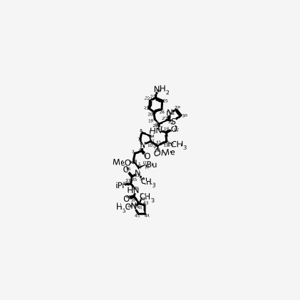 CC[C@H](C)[C@@H]([C@@H](CC(=O)N1CCC[C@H]1[C@H](OC)[C@@H](C)C(=O)N[C@@H](Cc1ccc(N)cc1)c1nccs1)OC)N(C)C(=O)C(NC(=O)[C@]1(C)CCCN1C)C(C)C